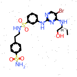 CC[C@H](CO)Nc1nc(Nc2cccc(S(=O)(=O)NCCc3ccc(S(N)(=O)=O)cc3)c2)ncc1Br